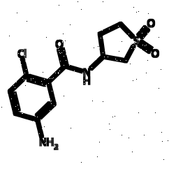 Nc1ccc(Cl)c(C(=O)NC2CCS(=O)(=O)C2)c1